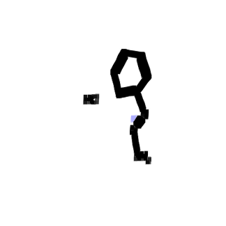 Cl.N/N=N/c1ccccc1